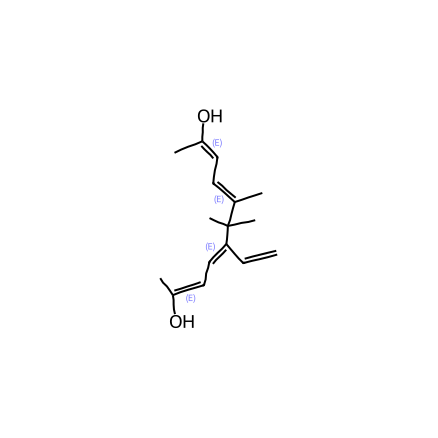 C=C/C(=C\C=C(/C)O)C(C)(C)/C(C)=C/C=C(\C)O